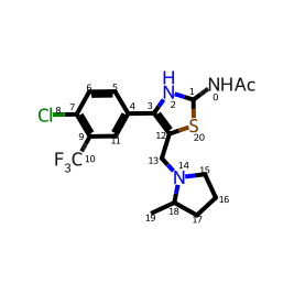 CC(=O)NC1NC(c2ccc(Cl)c(C(F)(F)F)c2)=C(CN2CCCC2C)S1